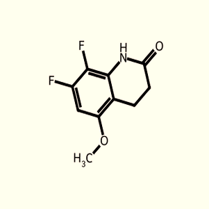 COc1cc(F)c(F)c2c1CCC(=O)N2